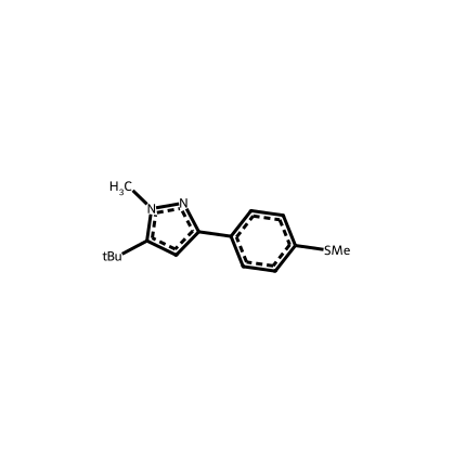 CSc1ccc(-c2cc(C(C)(C)C)n(C)n2)cc1